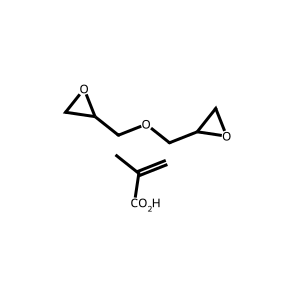 C(OCC1CO1)C1CO1.C=C(C)C(=O)O